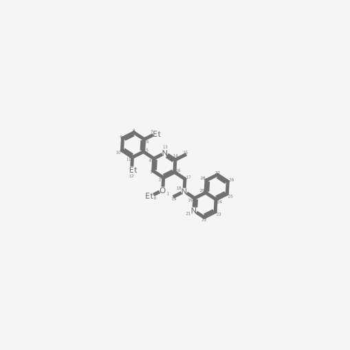 CCOc1cc(-c2c(CC)cccc2CC)nc(C)c1CN(C)c1nccc2ccccc12